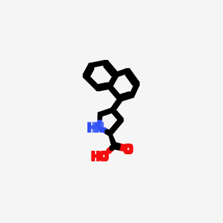 O=C(O)[C@@H]1CC(c2cccc3ccccc23)CN1